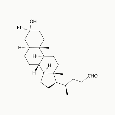 CC[C@]1(O)CC[C@@]2(C)[C@@H](CC[C@@H]3[C@@H]2CC[C@]2(C)[C@@H]([C@H](C)CCC=O)CC[C@@H]32)C1